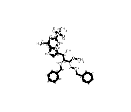 CO[C@H](COCc1ccccc1)[C@@H](OCc1ccccc1)[C@@H](F)c1cnc2c(N)nc(S(C)(=O)=O)nn12